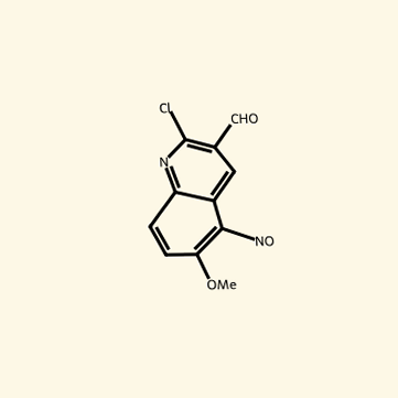 COc1ccc2nc(Cl)c(C=O)cc2c1N=O